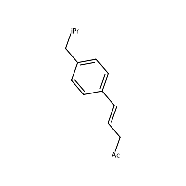 CC(=O)CC=Cc1ccc(CC(C)C)cc1